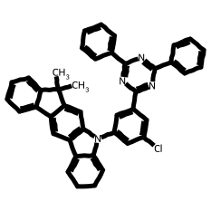 CC1(C)c2ccccc2-c2cc3c4c(n(-c5cc(Cl)cc(-c6nc(-c7ccccc7)nc(-c7ccccc7)n6)c5)c3cc21)=CCCC=4